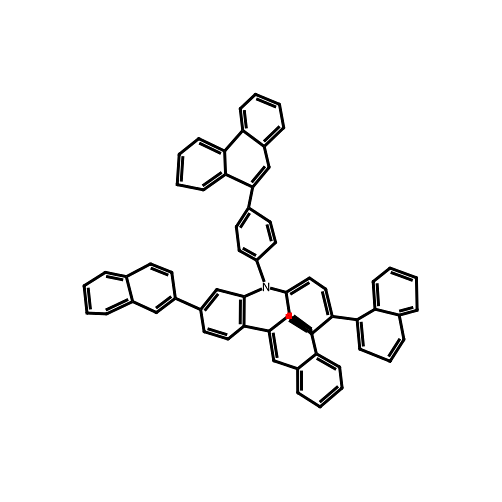 c1ccc2cc(-c3ccc(-c4ccc5ccccc5c4)c(N(c4ccc(-c5cccc6ccccc56)cc4)c4ccc(-c5cc6ccccc6c6ccccc56)cc4)c3)ccc2c1